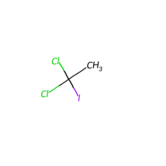 CC(Cl)(Cl)I